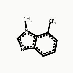 Cn1[c]nc2cccc(C(F)(F)F)c21